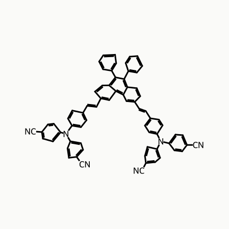 N#Cc1ccc(N(c2ccc(C#N)cc2)c2ccc(/C=C/c3ccc4c(-c5ccccc5)c(-c5ccccc5)c5ccc(/C=C/c6ccc(N(c7ccc(C#N)cc7)c7ccc(C#N)cc7)cc6)cc5c4c3)cc2)cc1